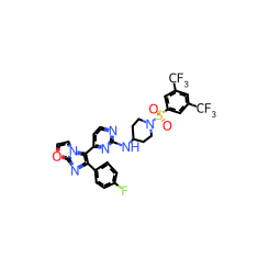 O=S(=O)(c1cc(C(F)(F)F)cc(C(F)(F)F)c1)N1CCC(Nc2nccc(-c3c(-c4ccc(F)cc4)nc4occn34)n2)CC1